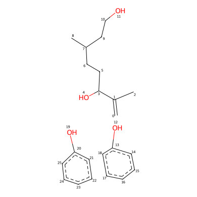 C=C(C)C(O)CCC(C)CCO.Oc1ccccc1.Oc1ccccc1